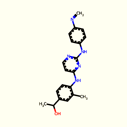 C=Nc1ccc(Nc2nccc(Nc3ccc(C(C)O)cc3C)n2)cc1